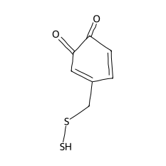 O=C1C=CC(CSS)=CC1=O